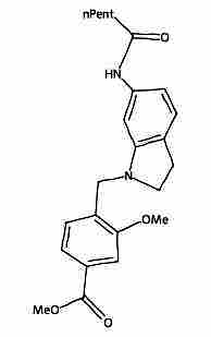 CCCCCC(=O)Nc1ccc2c(c1)N(Cc1ccc(C(=O)OC)cc1OC)CC2